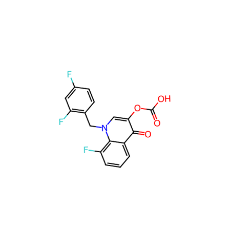 O=C(O)Oc1cn(Cc2ccc(F)cc2F)c2c(F)cccc2c1=O